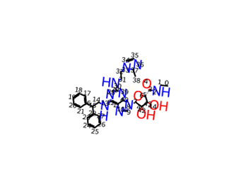 CCNC(=O)[C@H]1O[C@@H](n2cnc3c(NCC(c4ccccc4)c4ccccc4)nc(NCCn4ccnc4C)nc32)[C@H](O)[C@@H]1O